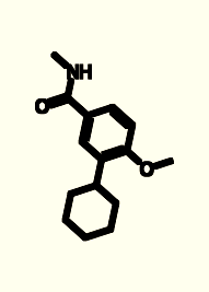 CNC(=O)c1ccc(OC)c(C2CCCCC2)c1